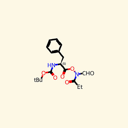 CCC(=O)N(C=O)OC(=O)[C@H](Cc1ccccc1)NC(=O)OC(C)(C)C